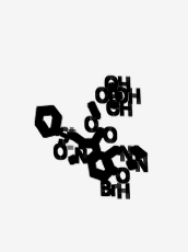 CCOC(=O)c1c(C[S+]([O-])c2ccccc2)n(C)c2cc(Br)c(O)c(Cn3ccnc3)c12.O=P(O)(O)O